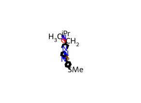 C=C(O/N=C(\C)C(C)C)C1CCN(c2ccc3nc(-c4ccc(SC)cc4)sc3n2)CC1